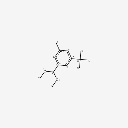 COC(OC)c1cc(C)cc(C(C)(C)C)c1